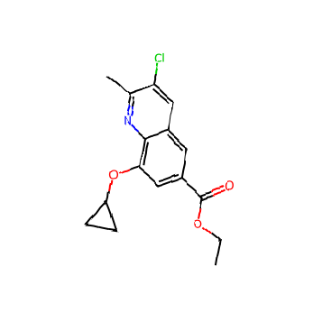 CCOC(=O)c1cc(OC2CC2)c2nc(C)c(Cl)cc2c1